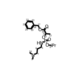 CC(C)OP(=O)(NCCCN(C)C)OC(C)C(=O)OCc1ccccc1